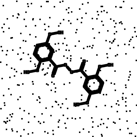 O=C(OOC(=O)c1cc(OO)ccc1OO)c1cc(OO)ccc1OO